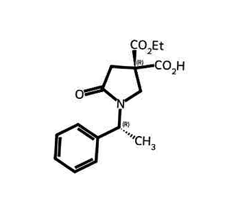 CCOC(=O)[C@]1(C(=O)O)CC(=O)N([C@H](C)c2ccccc2)C1